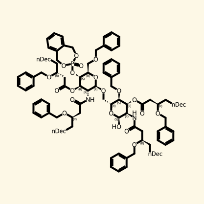 CCCCCCCCCCC[C@H](CC(=O)N[C@@H]1[C@@H](OC(=O)C[C@@H](CCCCCCCCCCC)OCc2ccccc2)[C@H](OCc2ccccc2)[C@@H](CO[C@@H]2O[C@H](COCc3ccccc3)[C@@H](OP3(=O)OCc4ccccc4CO3)[C@H](OC(=O)C[C@@H](CCCCCCCCCCC)OCc3ccccc3)[C@H]2NC(=O)C[C@@H](CCCCCCCCCCC)OCc2ccccc2)O[C@@H]1O)OCc1ccccc1